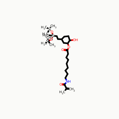 C=C(C)C(=O)NCCCCCCCCC(=O)OC1CC(CC[Si](C)(O[Si](C)(C)C)O[Si](C)(C)C)CCC1O